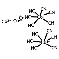 N#[C][Co-3]([C]#N)([C]#N)([C]#N)([C]#N)[C]#N.N#[C][Co-3]([C]#N)([C]#N)([C]#N)([C]#N)[C]#N.[Co+2].[Co+2].[Co+2]